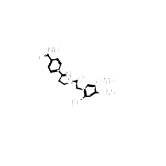 COc1cc(Br)c(CC(=O)N2CCC(c3ccc(C(N)=O)cc3)=N2)cc1OC